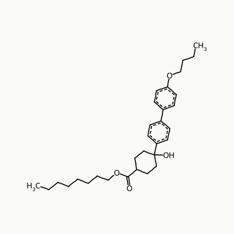 CCCCCCCCOC(=O)C1CCC(O)(c2ccc(-c3ccc(OCCCC)cc3)cc2)CC1